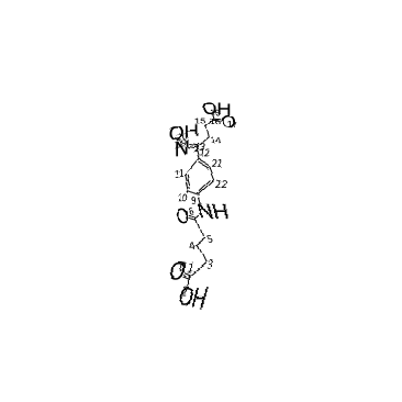 O=C(O)CCCC(=O)Nc1ccc(C(CCC(=O)O)=NO)cc1